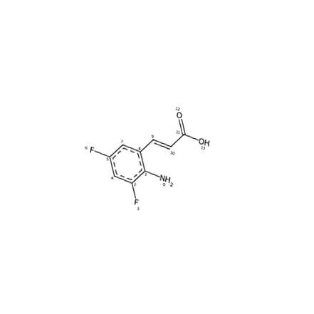 Nc1c(F)cc(F)cc1C=CC(=O)O